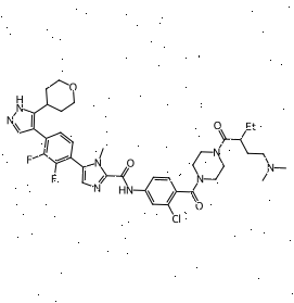 CCC(CCN(C)C)C(=O)N1CCN(C(=O)c2ccc(NC(=O)c3ncc(-c4ccc(-c5cn[nH]c5C5CCOCC5)c(F)c4F)n3C)cc2Cl)CC1